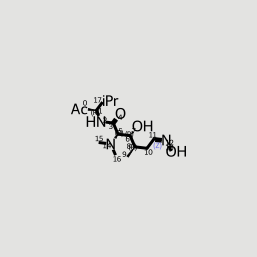 CC(=O)[C@H](NC(=O)[C@@H]([C@H](O)[C@H](C)C/C=N\O)N(C)C)C(C)C